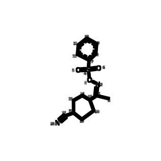 CC(=NOS(=O)(=O)c1ccccc1)C1CCC(C#N)CC1